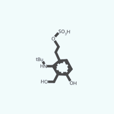 CC(C)(C)Nc1c(CCOS(=O)(=O)O)ccc(O)c1CO